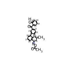 CC(=O)O/N=C1\CC(C)n2c3ccc(C(=O)c4ccccc4C)cc3c3cccc1c32